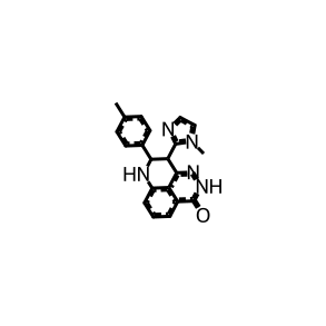 Cc1ccc(C2Nc3cccc4c(=O)[nH]nc(c34)C2c2nccn2C)cc1